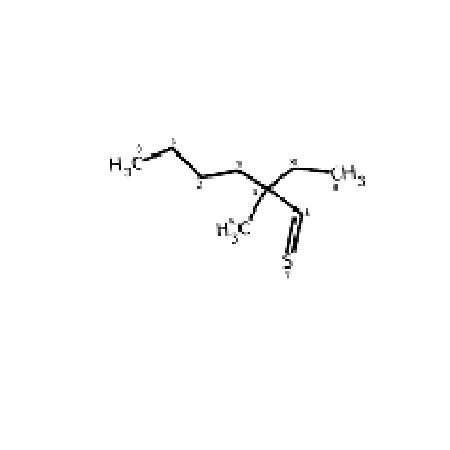 CCCCC(C)(C=S)CC